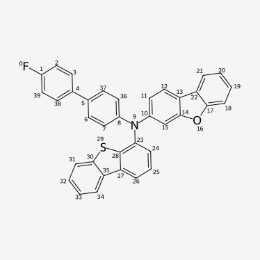 Fc1ccc(-c2ccc(N(c3ccc4c(c3)oc3ccccc34)c3cccc4c3sc3ccccc34)cc2)cc1